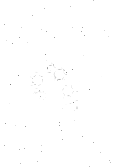 CC(C)S(=O)(=O)c1ccc(-c2cnc3[nH]cc(-c4cncc(S(C)(=O)=O)c4)c3n2)cc1